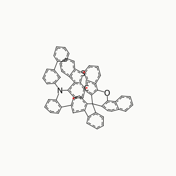 c1ccc(-c2cccc(N(c3ccccc3-c3ccc4c(c3)-c3ccccc3C43c4ccc5ccccc5c4Oc4c3ccc3ccccc43)c3cccc4sc5ccccc5c34)c2)cc1